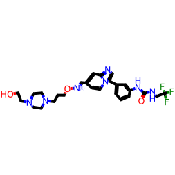 O=C(NCC(F)(F)F)Nc1cccc(-c2cnc3cc(/C=N/OCCCN4CCN(CCO)CC4)ccn23)c1